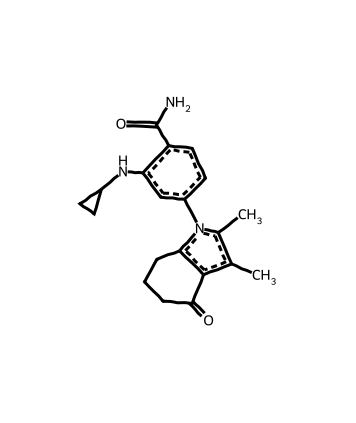 Cc1c2c(n(-c3ccc(C(N)=O)c(NC4CC4)c3)c1C)CCCC2=O